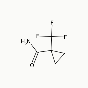 NC(=O)C1(C(F)(F)F)CC1